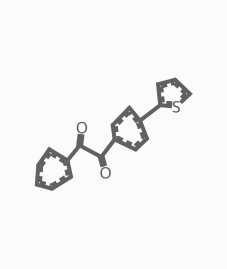 O=C(C(=O)c1ccc(-c2cccs2)cc1)c1ccccc1